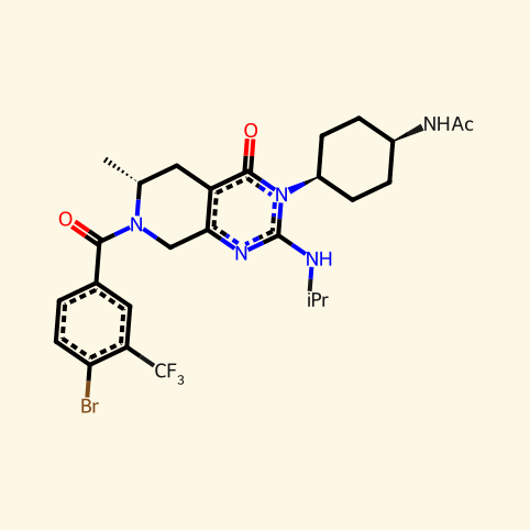 CC(=O)N[C@H]1CC[C@@H](n2c(NC(C)C)nc3c(c2=O)C[C@@H](C)N(C(=O)c2ccc(Br)c(C(F)(F)F)c2)C3)CC1